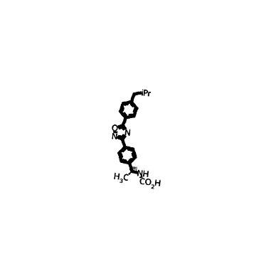 CC(C)Cc1ccc(-c2nc(-c3ccc([C@@H](C)NC(=O)O)cc3)no2)cc1